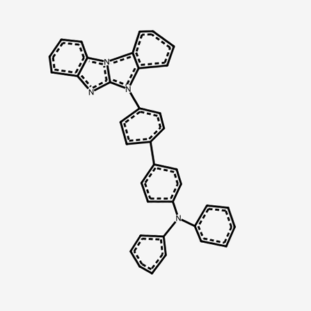 c1ccc(N(c2ccccc2)c2ccc(-c3ccc(-n4c5ccccc5n5c6ccccc6nc45)cc3)cc2)cc1